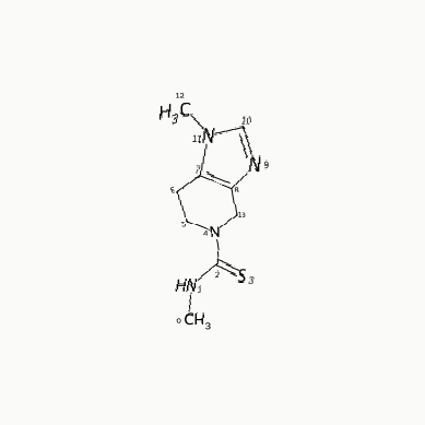 CNC(=S)N1CCc2c(ncn2C)C1